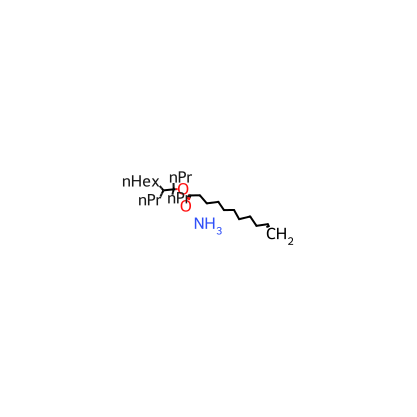 C=CCCCCCCCCC(=O)OC(CCC)(CCC)C(CCC)CCCCCC.N